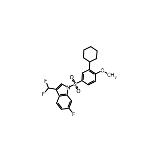 COc1ccc(S(=O)(=O)n2cc(C(F)F)c3ccc(F)cc32)cc1C1CCCCC1